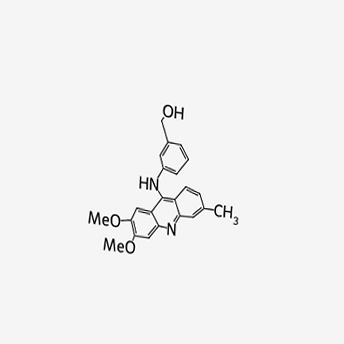 COc1cc2nc3cc(C)ccc3c(Nc3cccc(CO)c3)c2cc1OC